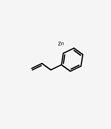 C=CCc1ccccc1.[Zn]